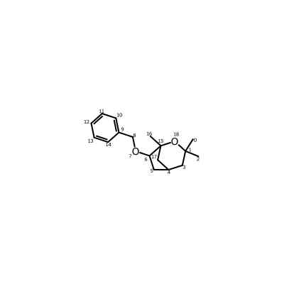 CC1(C)CC2CC(OCc3ccccc3)C(C)(C2)O1